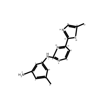 Cc1cc(N)cc(Nc2nccc(-c3ncc(C)s3)n2)c1